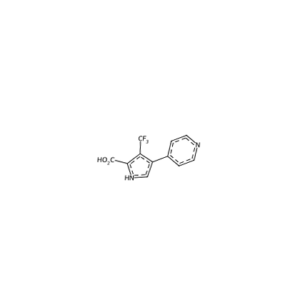 O=C(O)c1[nH]cc(-c2ccncc2)c1C(F)(F)F